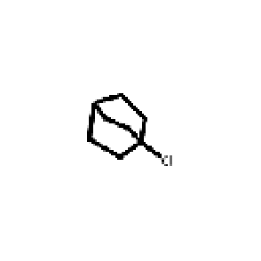 ClC12CCC(CC1)CC2